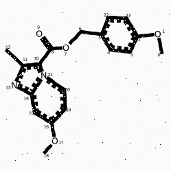 COc1ccc(COC(=O)c2c(C)nc3cc(OC)ccn23)cc1